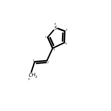 CC=Cc1ccsc1